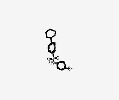 O=S(=O)(Nc1ccc(Br)cc1)c1ccc(C2CCCCC2)cc1